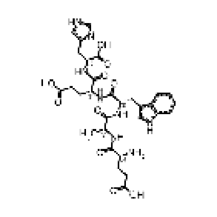 C[C@H](NC(=O)[C@@H](N)CCC(=O)O)C(=O)N[C@@H](Cc1c[nH]c2ccccc12)C(=O)N[C@@H](CCC(=O)O)C(=O)N[C@@H](Cc1c[nH]cn1)C(=O)O